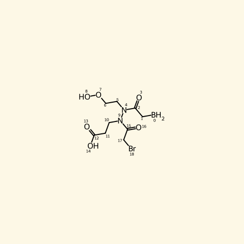 BCC(=O)N(CCOO)N(CCC(=O)O)C(=O)CBr